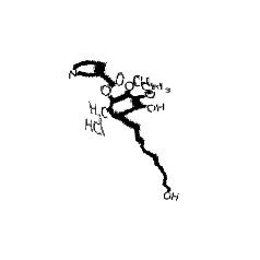 COc1c(O)c(CCCCCCCCCCO)c(C)c(OC(=O)c2cccnc2)c1OC.Cl